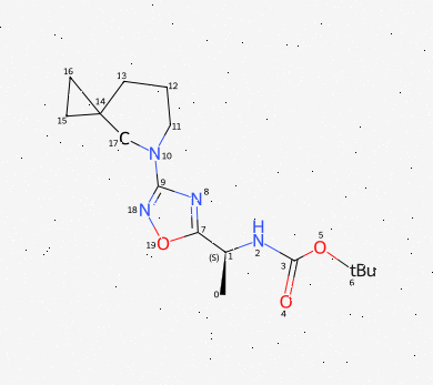 C[C@H](NC(=O)OC(C)(C)C)c1nc(N2CCCC3(CC3)C2)no1